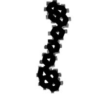 c1cc2ccc3ccc(-c4ccc(-c5ccc(-c6ccc(-c7ccc8ccc9cccc%10ccc7c8c9%10)cc6)nc5)cc4)c4ccc(c1)c2c34